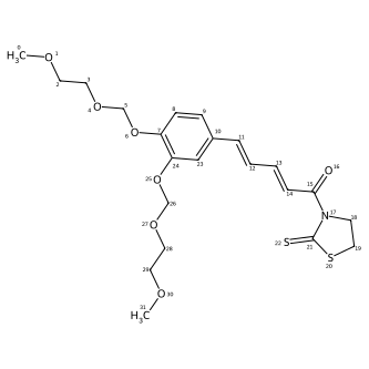 COCCOCOc1ccc(C=CC=CC(=O)N2CCSC2=S)cc1OCOCCOC